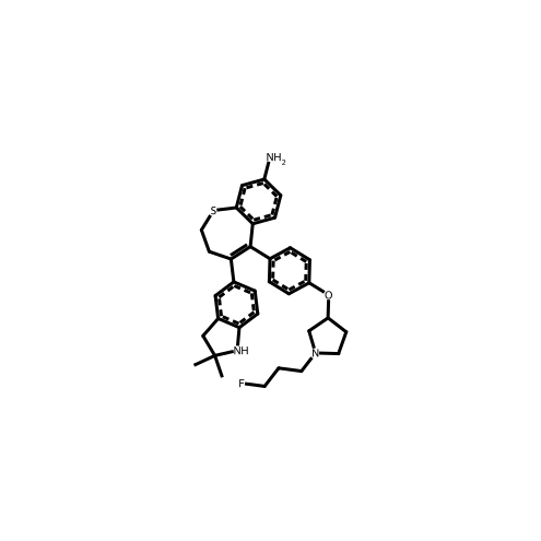 CC1(C)Cc2cc(C3=C(c4ccc(OC5CCN(CCCF)C5)cc4)c4ccc(N)cc4SCC3)ccc2N1